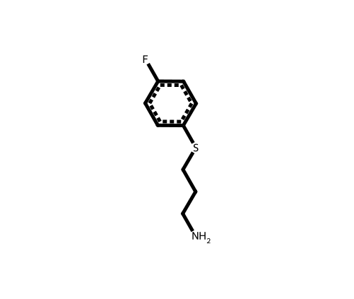 NCCCSc1ccc(F)cc1